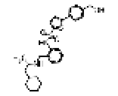 C[C@@H](CC1CCCCC1)NCc1ccccc1NS(=O)(=O)c1ccc(-c2ccc(CO)cc2)s1